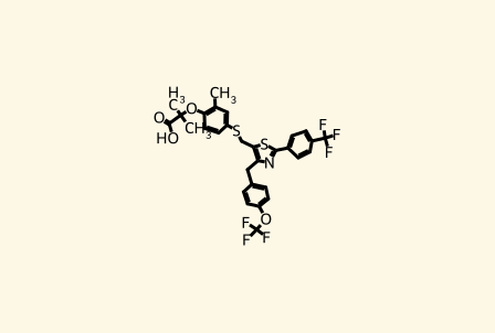 Cc1cc(SCc2sc(-c3ccc(C(F)(F)F)cc3)nc2Cc2ccc(OC(F)(F)F)cc2)ccc1OC(C)(C)C(=O)O